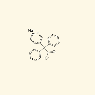 O=C([O-])C(c1ccccc1)(c1ccccc1)c1ccccc1.[Na+]